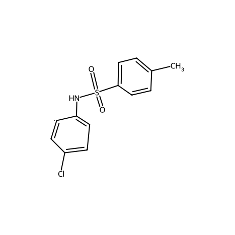 Cc1ccc(S(=O)(=O)Nc2[c]cc(Cl)cc2)cc1